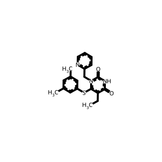 CCc1c(Sc2cc(C)cc(C)c2)n(Cc2ccccn2)c(=O)[nH]c1=O